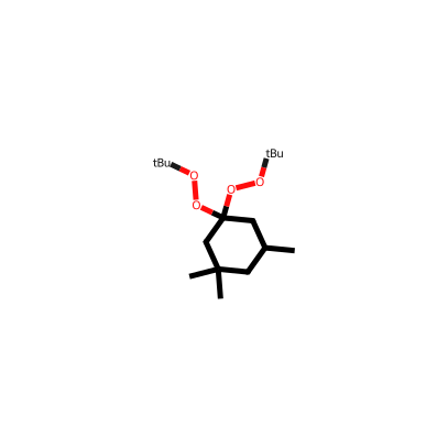 CC1CC(C)(C)CC(OOC(C)(C)C)(OOC(C)(C)C)C1